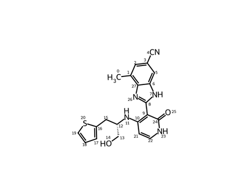 Cc1cc(C#N)cc2[nH]c(-c3c(N[C@H](CO)Cc4cccs4)cc[nH]c3=O)nc12